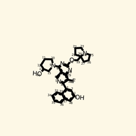 Oc1cc(-c2ncc3c(N4CCCC(O)C4)nc(OCC45CCCN4CCC5)nc3c2F)c2ccccc2c1